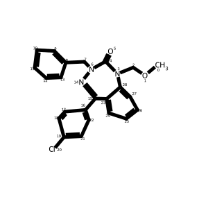 COCN1C(=O)N(Cc2ccccc2)N=C(c2ccc(Cl)cc2)c2ccccc21